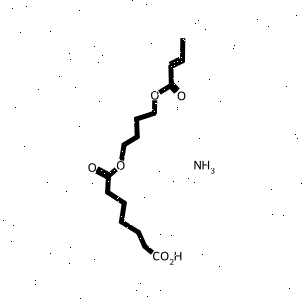 CC=CC(=O)OCCCCOC(=O)CCCCCC(=O)O.N